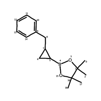 CC1(C)OB(C2CC2Cc2ccccc2)OC1(C)C